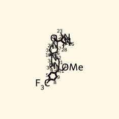 COC[C@@H](c1ccc(C(F)(F)F)cc1)N1CCN(C2(C)CCN(C(=O)c3c(C)nn(C)c3C)CC2)C[C@@H]1C